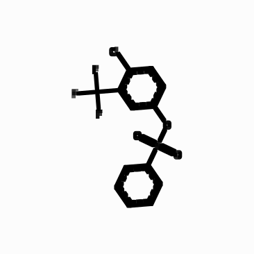 O=S(=O)(Oc1ccc(Cl)c(C(F)(F)F)c1)c1ccccc1